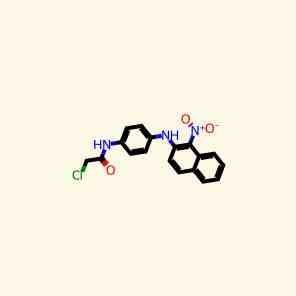 O=C(CCl)Nc1ccc(Nc2ccc3ccccc3c2[N+](=O)[O-])cc1